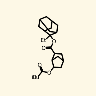 CCC(C)C(=O)OC1CC2CC(C(=O)OC3(CC)C4CC5CC(C4)CC3C5)C1C2